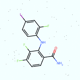 NC(=O)c1ccc(F)c(F)c1Nc1ccc(I)cc1F